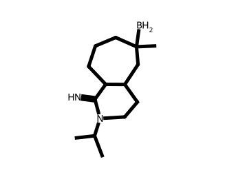 BC1(C)CCCC2C(=N)N(C(C)C)CCC2C1